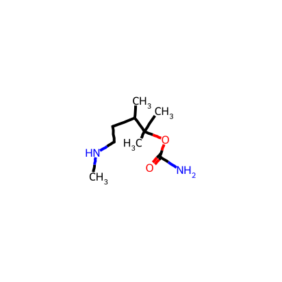 CNCCC(C)C(C)(C)OC(N)=O